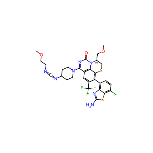 COCCN=C=NC1CCN(c2nc(=O)n3c4c(c(-c5ccc(F)c6sc(N)nc56)c(C(F)(F)F)cc24)SC[C@@H]3COC)CC1